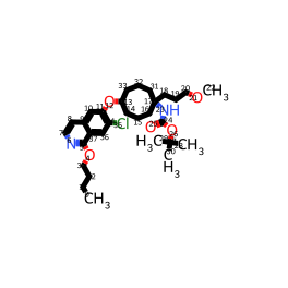 CCCCOc1nccc2cc(OC3CCCC(CCCOC)(NC(=O)OC(C)(C)C)CCC3)c(Cl)cc12